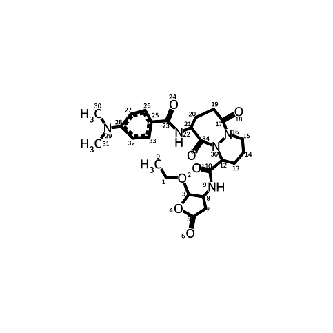 CCOC1OC(=O)CC1NC(=O)C1CCCN2C(=O)CCC(NC(=O)c3ccc(N(C)C)cc3)C(=O)N12